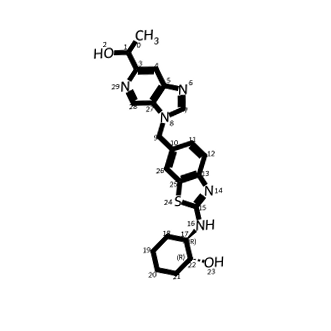 CC(O)c1cc2ncn(Cc3ccc4nc(N[C@@H]5CCCC[C@H]5O)sc4c3)c2cn1